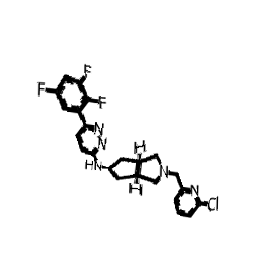 Fc1cc(F)c(F)c(-c2ccc(N[C@H]3C[C@@H]4CN(Cc5cccc(Cl)n5)C[C@@H]4C3)nn2)c1